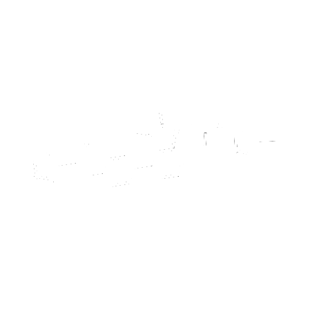 COc1cc(-c2cc(C(F)(F)F)cc3c2n(C)c(=O)n3CC(=O)Nc2cc(C)on2)cc(F)c1OCc1nnc[nH]1